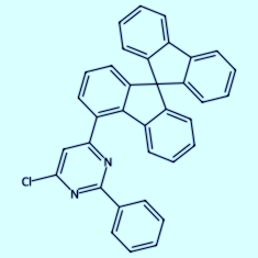 Clc1cc(-c2cccc3c2-c2ccccc2C32c3ccccc3-c3ccccc32)nc(-c2ccccc2)n1